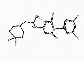 CC(CC1CCC(F)(F)CC1)Nc1cc(=O)n(-c2cc(F)cc(F)c2)c(=O)[nH]1